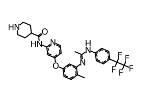 C/C(=N\c1cc(Oc2ccnc(NC(=O)C3CCNCC3)c2)ccc1C)Nc1ccc(C(F)(F)C(F)(F)F)cc1